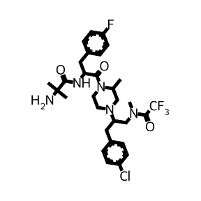 CC1CN(C(Cc2ccc(Cl)cc2)CN(C)C(=O)C(F)(F)F)CCN1C(=O)C(Cc1ccc(F)cc1)NC(=O)C(C)(C)N